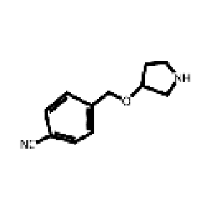 N#Cc1ccc(COC2CCNC2)cc1